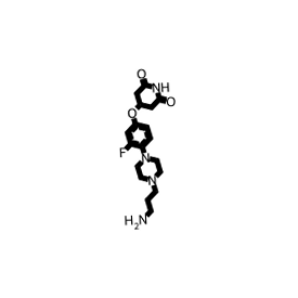 NCCCN1CCN(c2ccc(OC3CC(=O)NC(=O)C3)cc2F)CC1